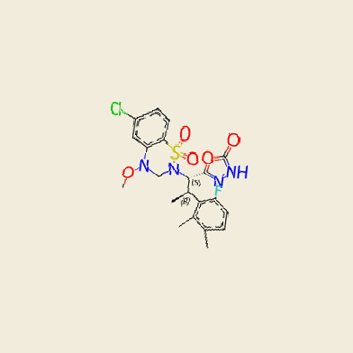 CON1CN([C@H](c2n[nH]c(=O)o2)[C@H](C)c2c(F)ccc(C)c2C)S(=O)(=O)c2ccc(Cl)cc21